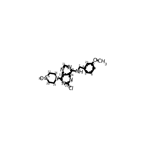 COc1cccc(CNc2ncnc3c(N4CC[S+]([O-])CC4)nc(Cl)nc23)c1